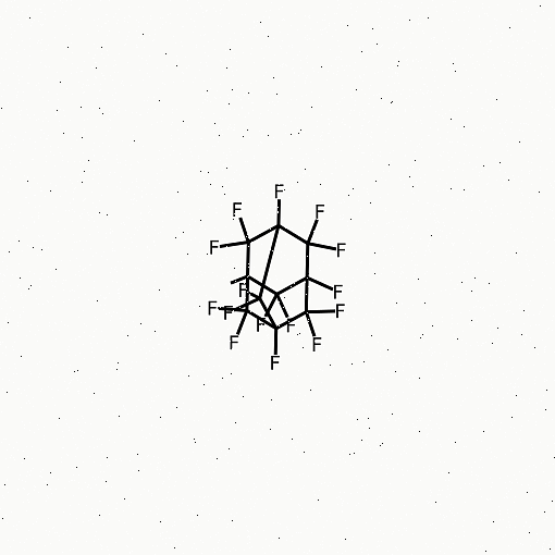 CC12C(F)(F)C3(F)C(F)(F)C(F)(C1(F)F)C(F)(F)C(F)(C2(F)F)C3(F)F